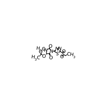 CCS(=O)(=O)c1nnc(N2C(=O)C(OC(C)=O)N(C)C2=O)s1